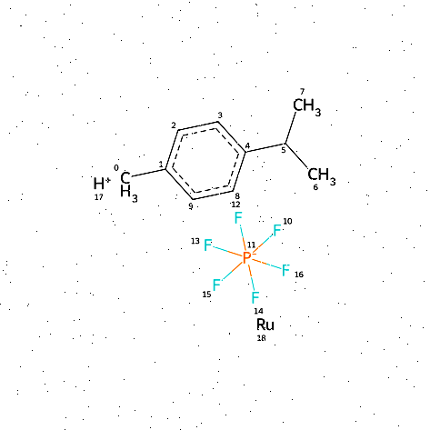 Cc1ccc(C(C)C)cc1.F[P-](F)(F)(F)(F)F.[H+].[Ru]